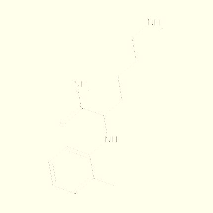 Cc1ccccc1NC(CCCCN)C(N)=O